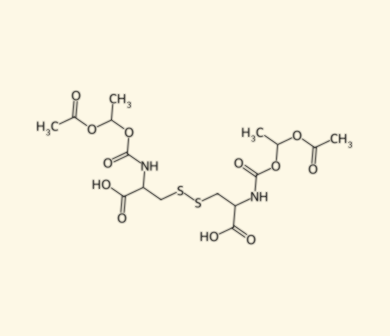 CC(=O)OC(C)OC(=O)NC(CSSCC(NC(=O)OC(C)OC(C)=O)C(=O)O)C(=O)O